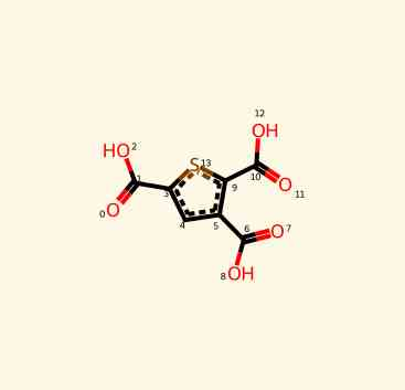 O=C(O)c1cc(C(=O)O)c(C(=O)O)s1